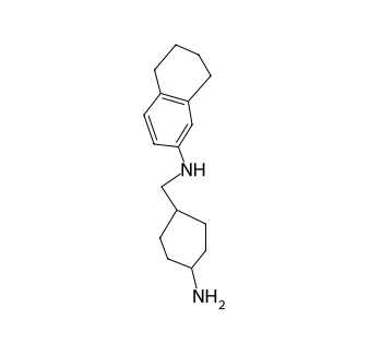 NC1CCC(CNc2ccc3c(c2)CCCC3)CC1